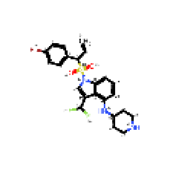 C=CC(c1ccc(Br)cc1)S(=O)(=O)n1cc(C(F)F)c2c(NC3CCNCC3)cccc21